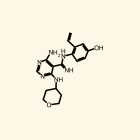 C=Cc1cc(O)ccc1NC(=N)c1c(N)ncnc1NC1CCOCC1